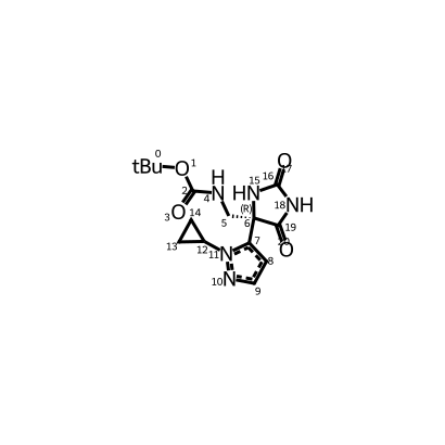 CC(C)(C)OC(=O)NC[C@]1(c2ccnn2C2CC2)NC(=O)NC1=O